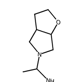 CC(N)N1CC2CCOC2C1